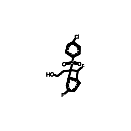 O=S(=O)(c1ccc(Cl)cc1)C1(CCO)c2cc(F)ccc2C1F